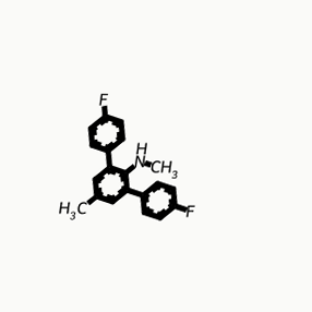 CNc1c(-c2ccc(F)cc2)cc(C)cc1-c1ccc(F)cc1